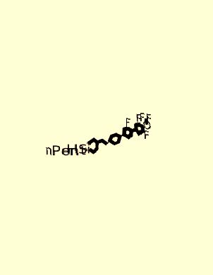 CCCCC[SiH]1CCC(CC[C@H]2CC[C@H](c3ccc(-c4cc(F)c(OC(F)F)c(F)c4)c(F)c3)CC2)CC1